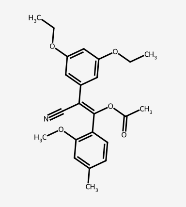 CCOc1cc(OCC)cc(C(C#N)=C(OC(C)=O)c2ccc(C)cc2OC)c1